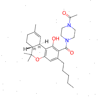 CCCCCc1cc2c(c(O)c1C(=O)N1CCN(C(C)=O)CC1)[C@@H]1C=C(C)CC[C@H]1C(C)(C)O2